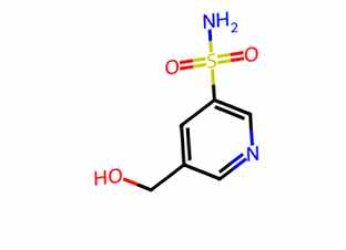 NS(=O)(=O)c1cncc(CO)c1